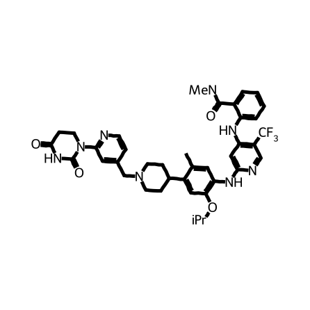 CNC(=O)c1ccccc1Nc1cc(Nc2cc(C)c(C3CCN(Cc4ccnc(N5CCC(=O)NC5=O)c4)CC3)cc2OC(C)C)ncc1C(F)(F)F